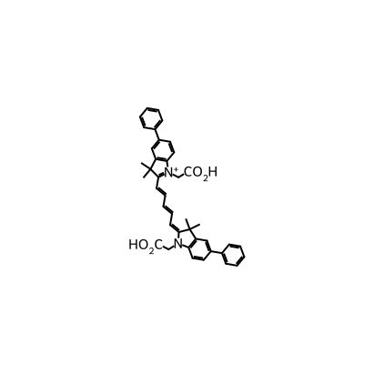 CC1(C)C(/C=C/C=C/C=C2/N(CC(=O)O)c3ccc(-c4ccccc4)cc3C2(C)C)=[N+](CC(=O)O)c2ccc(-c3ccccc3)cc21